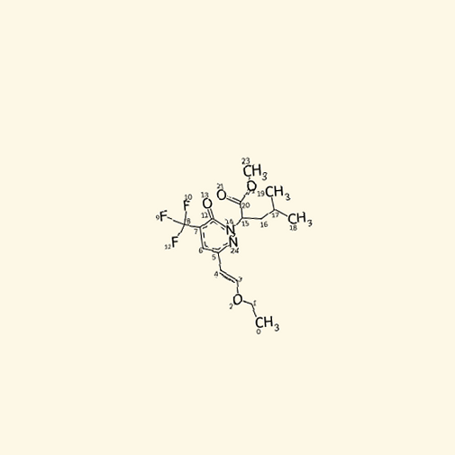 CCO/C=C/c1cc(C(F)(F)F)c(=O)n(C(CC(C)C)C(=O)OC)n1